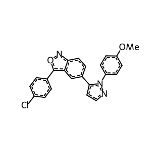 COc1ccc(-n2nccc2-c2ccc3noc(-c4ccc(Cl)cc4)c3c2)cc1